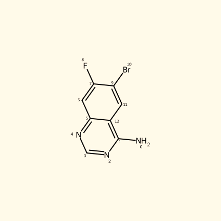 Nc1ncnc2cc(F)c(Br)cc12